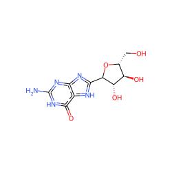 Nc1nc2nc(C3O[C@H](CO)[C@@H](O)[C@@H]3O)[nH]c2c(=O)[nH]1